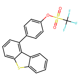 O=S(=O)(Oc1ccc(-c2cccc3sc4ccccc4c23)cc1)C(F)(F)F